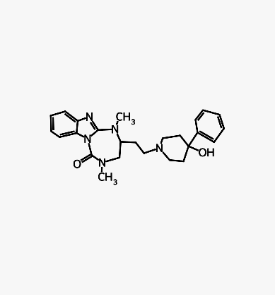 CN1CC(CCN2CCC(O)(c3ccccc3)CC2)N(C)c2nc3ccccc3n2C1=O